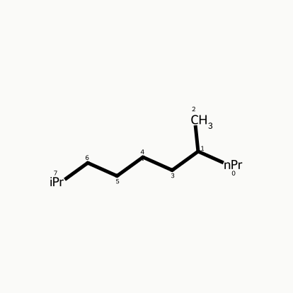 CCCC(C)C[CH]CCC(C)C